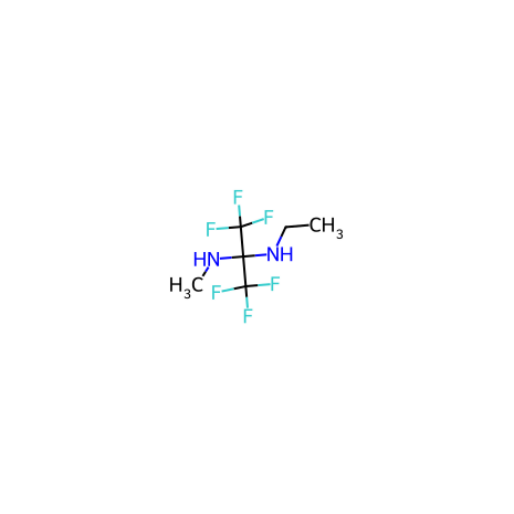 CCNC(NC)(C(F)(F)F)C(F)(F)F